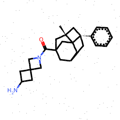 C[C@]12CC3(C(=O)N4CC5(CC(N)C5)C4)CC4CC1(C3)[C@](c1ccccc1)(C4)C2